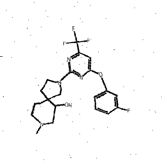 CN1CCC2(CCN(c3nc(Oc4cccc(F)c4)cc(C(F)(F)F)n3)C2)C(O)C1